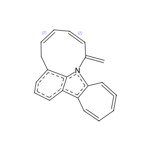 C=C1/C=C\C=C/Cc2cccc3c4c(n1c23)C=C=CC=C4